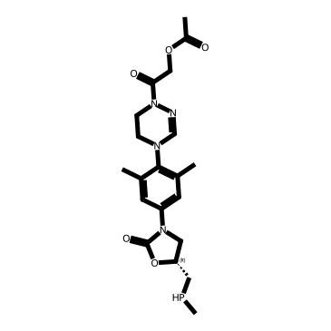 CPC[C@H]1CN(c2cc(C)c(N3C=NN(C(=O)COC(C)=O)CC3)c(C)c2)C(=O)O1